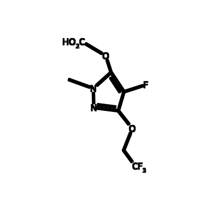 Cn1nc(OCC(F)(F)F)c(F)c1OC(=O)O